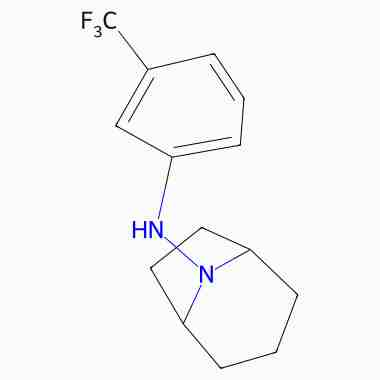 FC(F)(F)c1cccc(NN2C3CCCC2CC3)c1